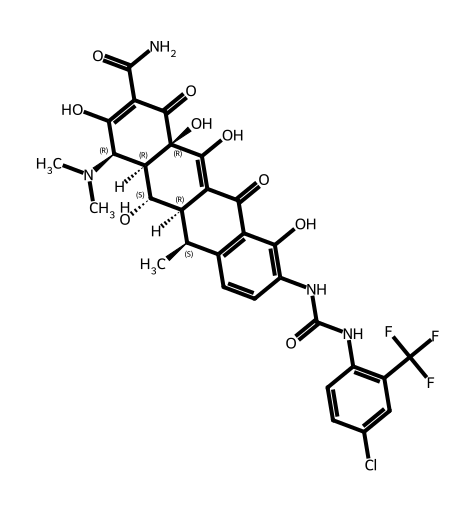 C[C@@H]1c2ccc(NC(=O)Nc3ccc(Cl)cc3C(F)(F)F)c(O)c2C(=O)C2=C(O)[C@@]3(O)C(=O)C(C(N)=O)=C(O)[C@H](N(C)C)[C@@H]3[C@@H](O)[C@@H]21